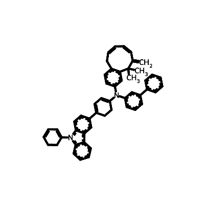 C=C1/C=C\C=C/Cc2ccc(N(C3=CC=C(c4ccc5c(c4)c4ccccc4n5C4=CC=CCC4)CC3)c3cccc(-c4ccccc4)c3)cc2C1(C)C